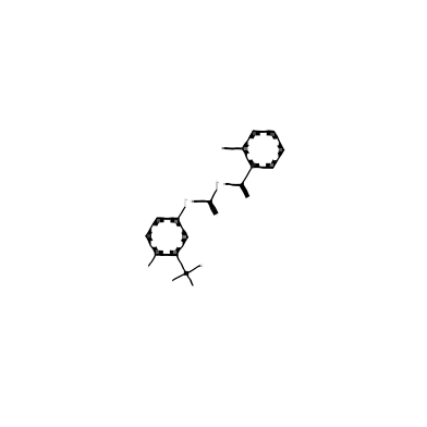 O=C(NC(=O)c1ccccc1Cl)Nc1ccc(F)c(C(F)(F)F)c1